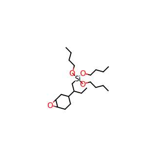 CCCCO[Si](CC(CC)C1CCC2OC2C1)(OCCCC)OCCCC